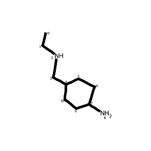 CCNCC1CCC(N)CC1